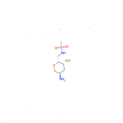 CS(=O)(=O)NC[C@@H]1CC[C@@H](N)CO1.Cl